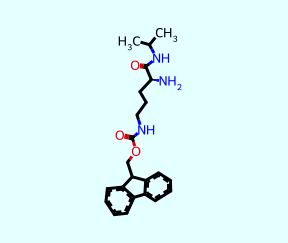 CC(C)NC(=O)[C@@H](N)CCCNC(=O)OCC1c2ccccc2-c2ccccc21